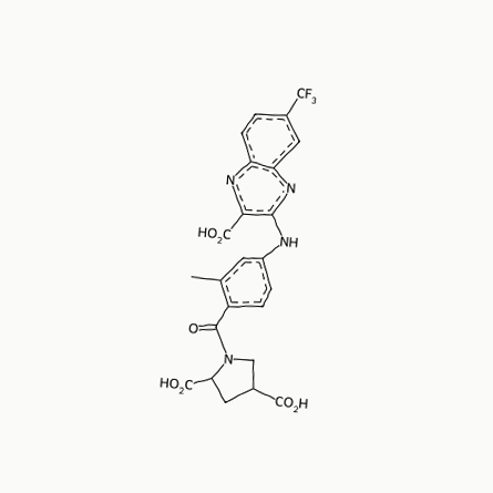 Cc1cc(Nc2nc3cc(C(F)(F)F)ccc3nc2C(=O)O)ccc1C(=O)N1CC(C(=O)O)CC1C(=O)O